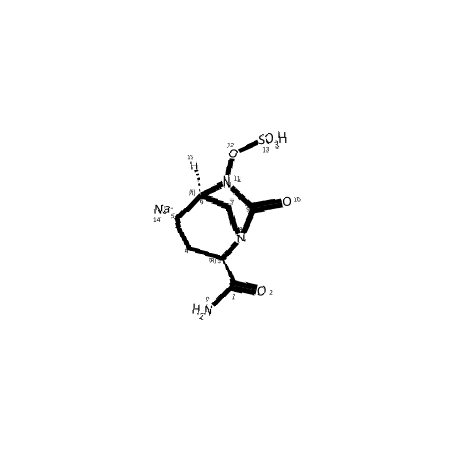 NC(=O)[C@H]1CC[C@@H]2CN1C(=O)N2OS(=O)(=O)O.[Na]